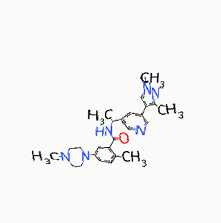 Cc1ccc(N2CCN(C)CC2)cc1C(=O)N[C@H](C)c1cncc(-c2cn(C)nc2C)c1